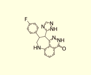 O=c1[nH]nc2c3c(cccc13)NCC(c1ccc(F)cc1)C2c1ncn[nH]1